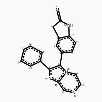 O=C1Cc2cc(-c3c(-c4ccccc4)nc4cnccn34)ccc2N1